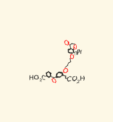 CCCc1c(OCCCCCOc2ccc(C(=O)c3cccc(C(=O)O)c3)cc2CCC(=O)O)ccc2c1OCCC2=O